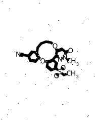 CCS(=O)(=O)c1ccc2c(c1)-c1nn(C)c(=O)cc1OCCCCc1cc(C#N)ccc1O2